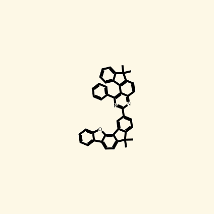 CC1(C)c2ccc(-c3nc(-c4ccccc4)c4c5c(ccc4n3)C(C)(C)c3ccccc3-5)cc2-c2c1ccc1c2oc2ccccc21